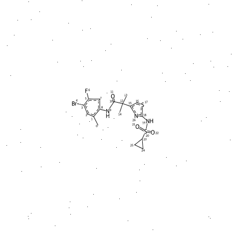 Cc1cc(Br)c(F)cc1NC(=O)C(C)(C)c1csc(NS(=O)(=O)C2CC2)n1